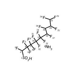 N.O=S(=O)(O)C(F)C(F)(F)C(F)(F)C(F)(F)C(F)(F)C(F)C(F)C(F)C(F)F